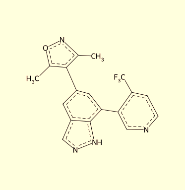 Cc1noc(C)c1-c1cc(-c2cnccc2C(F)(F)F)c2[nH]ncc2c1